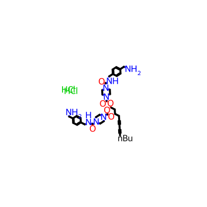 CCCCC#CC#CCCCC(OC(=O)N1CCN(C(=O)NCc2ccc(CN)cc2)CC1)OC(=O)N1CCN(C(=O)NCc2ccc(CN)cc2)CC1.Cl.Cl